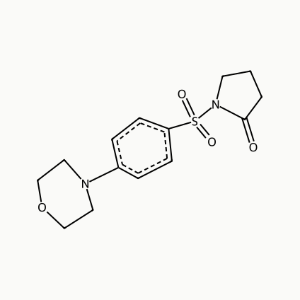 O=C1CCCN1S(=O)(=O)c1ccc(N2CCOCC2)cc1